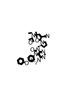 CCN(C1COC1)C(C)(C)/C=C(/C#N)C(=O)N1CCC[C@H]1Cn1c(=O)n(-c2ccc(Oc3ccccc3)cc2)c2c(N)ncnc21